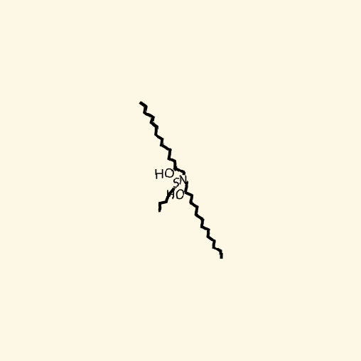 CCCCCCCCCCCCC(O)CN(CC(O)CCCCCCCCCCCC)SCCCCC